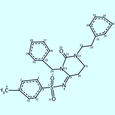 Cc1ccc(S(=O)(=O)N=C2CCN(CCc3ccccc3)C(=O)N2Cc2ccccc2)cc1